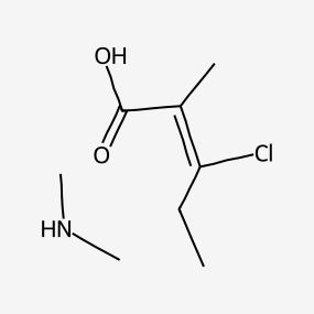 CCC(Cl)=C(C)C(=O)O.CNC